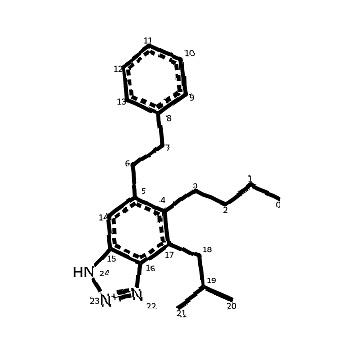 CCCCc1c(CCc2ccccc2)cc2c(c1CC(C)C)N=[N+]N2